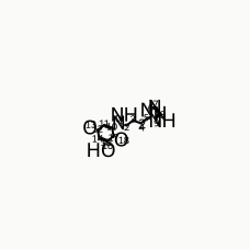 NN(CCCc1nnn[nH]1)C1=CC(=O)C=C(O)C1=O